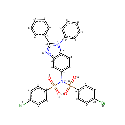 O=S(=O)(c1ccc(Br)cc1)N(c1ccc2c(c1)nc(-c1ccccc1)n2-c1ccccc1)S(=O)(=O)c1ccc(Br)cc1